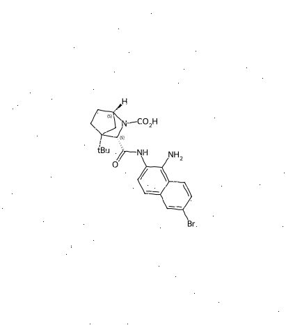 CC(C)(C)C12CC[C@@H](C1)N(C(=O)O)[C@@H]2C(=O)Nc1ccc2cc(Br)ccc2c1N